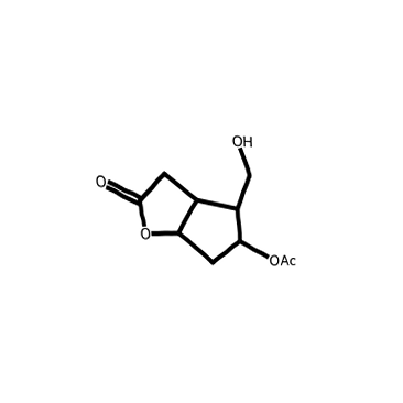 CC(=O)OC1CC2OC(=O)CC2C1CO